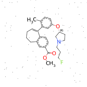 COC(=O)c1ccc2c(c1)CCCC=C2c1cc(O[C@@H]2CCN(CCCF)C2)ccc1C